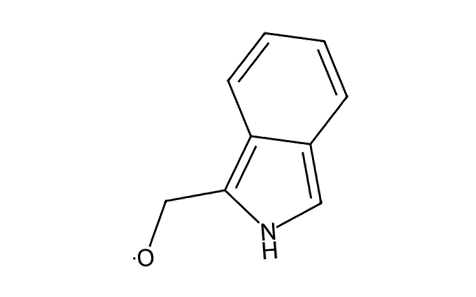 [O]Cc1[nH]cc2ccccc12